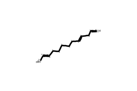 [CH]=CCC=CCCCCCC=CCCCC